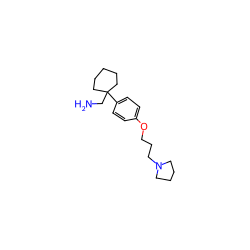 NCC1(c2ccc(OCCCN3CCCC3)cc2)CCCCC1